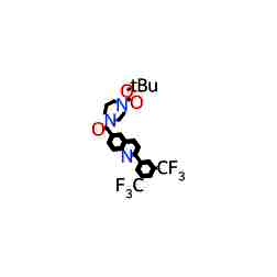 CC(C)(C)OC(=O)N1CCCN(C(=O)c2ccc3nc(-c4cc(C(F)(F)F)cc(C(F)(F)F)c4)ccc3c2)CC1